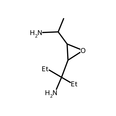 CCC(N)(CC)C1OC1C(C)N